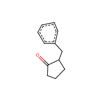 O=C1CCCC1Cc1c[c]ccc1